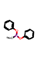 COP(Oc1ccccc1)Oc1ccccc1